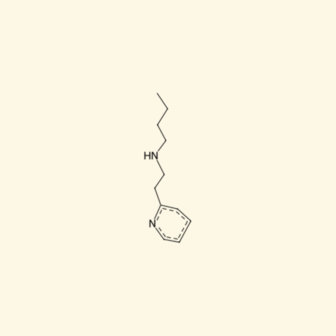 CCCCNCCc1ccccn1